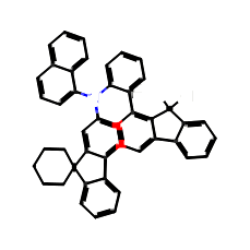 CC1(C)c2ccccc2-c2cccc(-c3ccccc3N(c3ccc4c(c3)C3(CCCCC3)c3ccccc3-4)c3cccc4ccccc34)c21